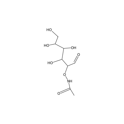 CC(=O)NOC(C=O)C(O)C(O)C(O)CO